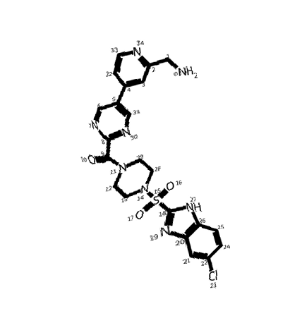 NCc1cc(-c2cnc(C(=O)N3CCN(S(=O)(=O)c4nc5cc(Cl)ccc5[nH]4)CC3)nc2)ccn1